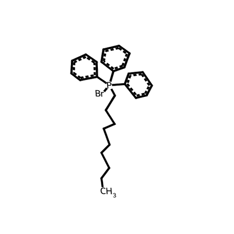 CCCCCCCCCP(Br)(c1ccccc1)(c1ccccc1)c1ccccc1